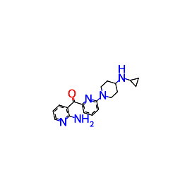 Nc1ncccc1C(=O)c1cccc(N2CCC(NC3CC3)CC2)n1